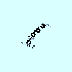 CC(C)(C)C1CC(C(=O)NC2CCC(=Cc3cccc(Oc4ccc(C(F)(F)F)cn4)c3)CC2)CCN1C(=O)O